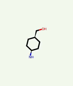 [NH][C@H]1CC[C@@H](CO)CC1